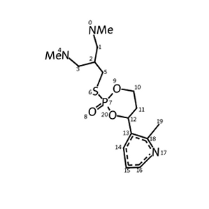 CNCC(CNC)CSP1(=O)OCCC(c2cccnc2C)O1